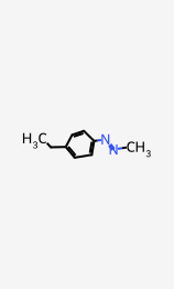 CCc1ccc(N=NC)cc1